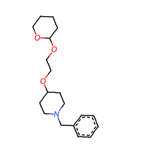 c1ccc(CN2CCC(OCCOC3CCCCO3)CC2)cc1